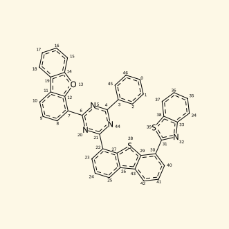 c1ccc(-c2nc(-c3cccc4c3oc3ccccc34)nc(-c3cccc4c3sc3c(-c5nc6ccccc6s5)cccc34)n2)cc1